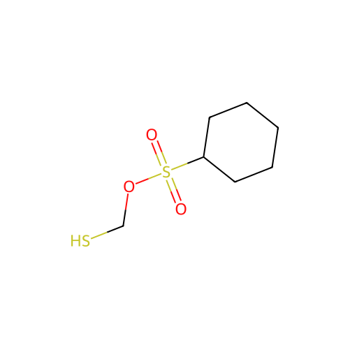 O=S(=O)(OCS)C1CCCCC1